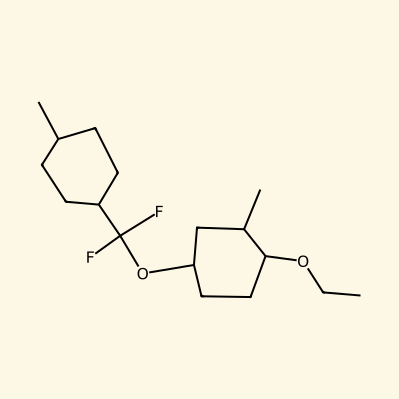 CCOC1CCC(OC(F)(F)C2CCC(C)CC2)CC1C